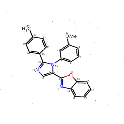 COc1cccc(-n2c(-c3nc4ccccc4o3)cnc2-c2ccc(C)cc2)c1